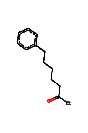 CCC(=O)CCCCCc1ccccc1